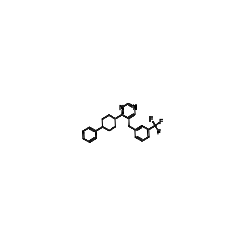 FC(F)(F)c1cccc(Cc2cncnc2C2CCC(c3ccccc3)CC2)c1